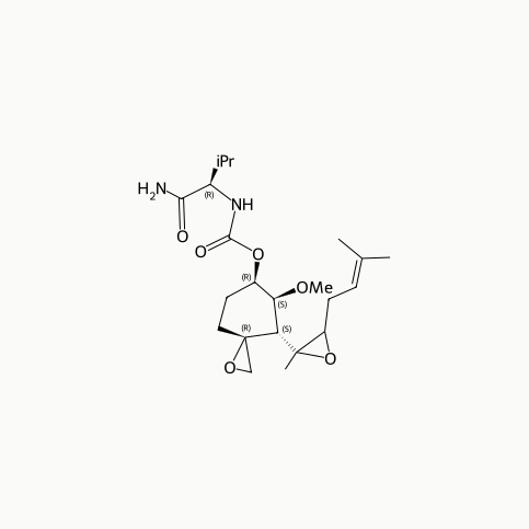 CO[C@H]1[C@H](C2(C)OC2CC=C(C)C)[C@]2(CC[C@H]1OC(=O)N[C@@H](C(N)=O)C(C)C)CO2